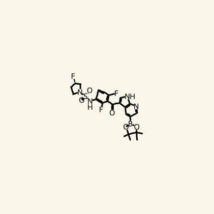 CC1(C)OB(c2cnc3[nH]cc(C(=O)c4c(F)ccc(NS(=O)(=O)N5CC[C@@H](F)C5)c4F)c3c2)OC1(C)C